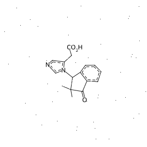 CC1(C)C(=O)c2ccccc2C1n1cncc1CC(=O)O